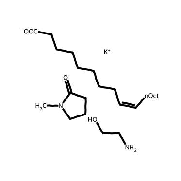 CCCCCCCC/C=C\CCCCCCCC(=O)[O-].CN1CCCC1=O.NCCO.[K+]